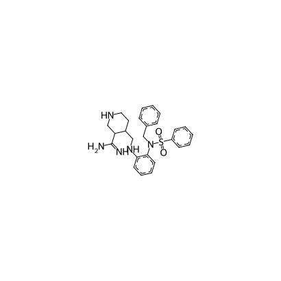 N=C(N)C1CNCCC1CNc1ccccc1N(Cc1ccccc1)S(=O)(=O)c1ccccc1